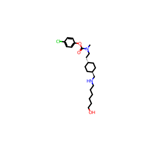 CN(CC[C@H]1CC[C@H](CNCCCCCCO)CC1)C(=O)Oc1ccc(Cl)cc1